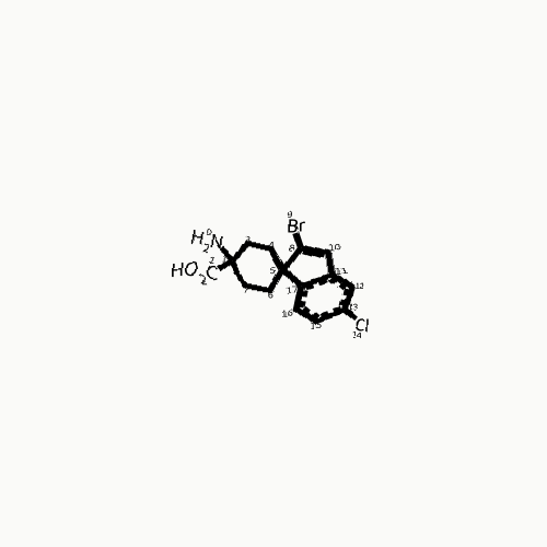 NC1(C(=O)O)CCC2(CC1)C(Br)=Cc1cc(Cl)ccc12